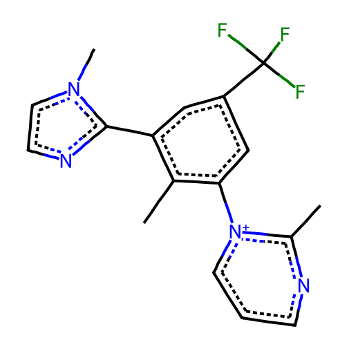 Cc1c(-c2nccn2C)cc(C(F)(F)F)cc1-[n+]1cccnc1C